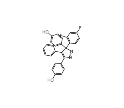 Oc1ccc(C2=C(c3ccccc3)C(c3ccc(O)cc3)(c3ccc(F)cc3F)N=N2)cc1